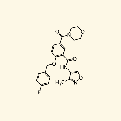 Cc1nocc1NC(=O)c1cc(C(=O)N2CCOCC2)ccc1OCc1ccc(F)cc1